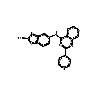 Cc1nc2cc(Nc3nc(-c4ccncc4)nc4ccccc34)ccc2s1